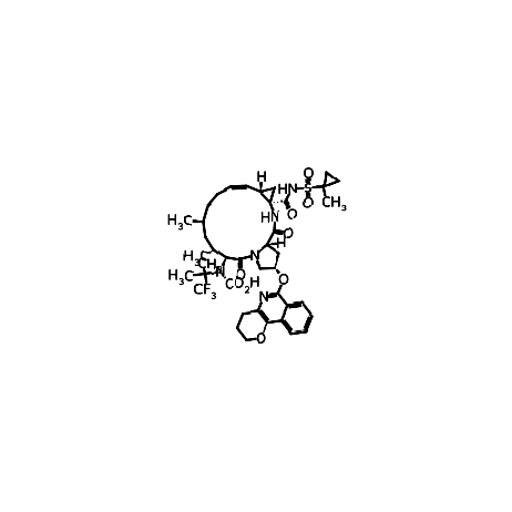 C[C@H]1CC/C=C\[C@@H]2C[C@@]2(C(=O)NS(=O)(=O)C2(C)CC2)NC(=O)[C@@H]2C[C@@H](Oc3nc4c(c5ccccc35)OCCC4)CN2C(=O)[C@@H](N(C(=O)O)C(C)(C)C(F)(F)F)[C@H](C)C1